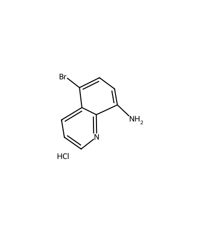 Cl.Nc1ccc(Br)c2cccnc12